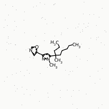 CCCCCC(C)(CCC)c1cc(-c2cnco2)nn1C